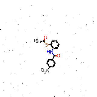 CC(C)(C)C(=O)Sc1ccccc1NC(=O)c1ccc([N+](=O)[O-])cc1